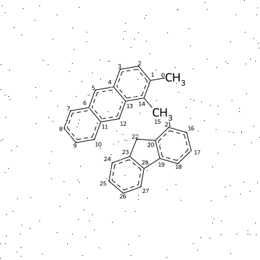 Cc1ccc2cc3ccccc3cc2c1C.c1ccc2c(c1)Cc1ccccc1-2